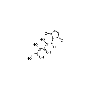 O=C1C=CC(=O)N1C(=O)[C@H](O)[C@@H](O)[C@@H](O)[C@H](O)CO